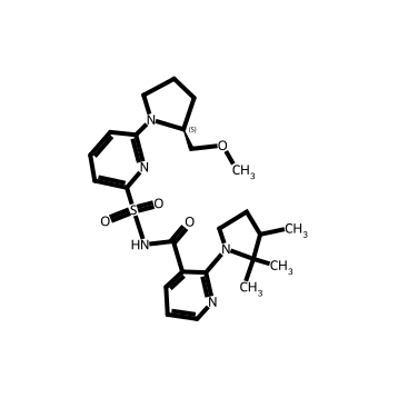 COC[C@@H]1CCCN1c1cccc(S(=O)(=O)NC(=O)c2cccnc2N2CCC(C)C2(C)C)n1